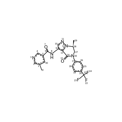 Cc1cncc(C(=O)Nc2cnn3c2C(=O)N(c2ccc(C(F)(F)F)cc2)C[C@@H]3C)c1